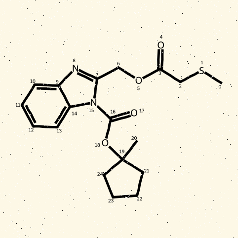 CSCC(=O)OCc1nc2ccccc2n1C(=O)OC1(C)CCCC1